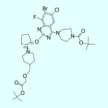 CC(C)(C)OC(=O)COCC1CCN([C@H]2CCC[C@@H]2Oc2nc(N3CCN(C(=O)OC(C)(C)C)CC3)c3cc(Cl)c(Br)c(F)c3n2)CC1